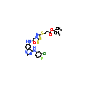 CC(C)OC(=O)CCSc1nn(CC(=O)Nc2ccc3ncnc(Nc4ccc(F)c(Cl)c4)c3c2)c(=S)s1